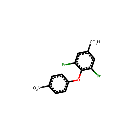 O=C(O)c1cc(Br)c(Oc2ccc([N+](=O)[O-])cc2)c(Br)c1